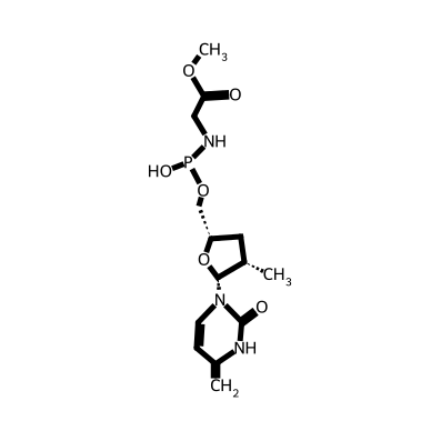 C=C1C=CN([C@@H]2O[C@H](COP(O)NCC(=O)OC)C[C@@H]2C)C(=O)N1